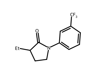 CCC1CCN(c2cccc(C(F)(F)F)c2)C1=O